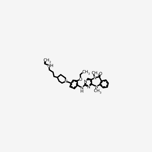 C=CNCCCC1CCN(c2ccc(Nc3ncc4c(n3)N(C)c3ccccc3C(=O)N4C)c(OCC)c2)CC1